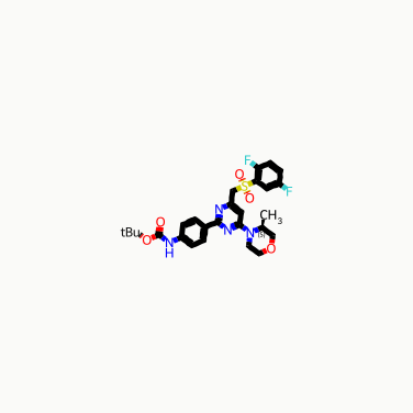 C[C@H]1COCCN1c1cc(CS(=O)(=O)c2cc(F)ccc2F)nc(-c2ccc(NC(=O)OC(C)(C)C)cc2)n1